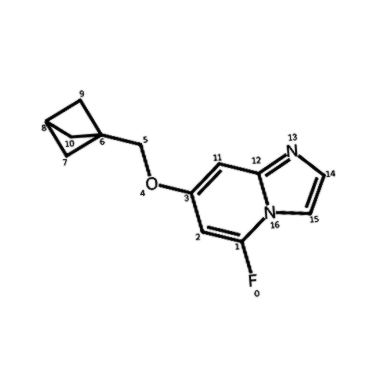 Fc1cc(OCC23CC(C2)C3)cc2nccn12